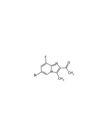 CC(=O)c1nc2c(F)cc(Br)cn2c1C